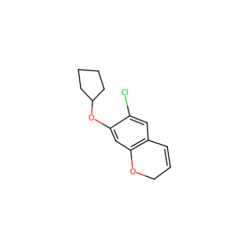 Clc1cc2c(cc1OC1CCCC1)OCC=C2